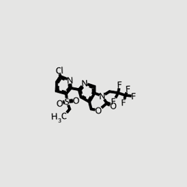 CCS(=O)(=O)c1ccc(Cl)nc1-c1cc2c(cn1)N(CC(F)(F)C(F)(F)F)C(=O)OC2